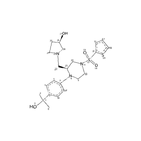 CC(C)(O)c1ccc(N2CCN(S(=O)(=O)c3cccs3)C[C@@H]2CN2CC[C@@H](O)C2)cc1